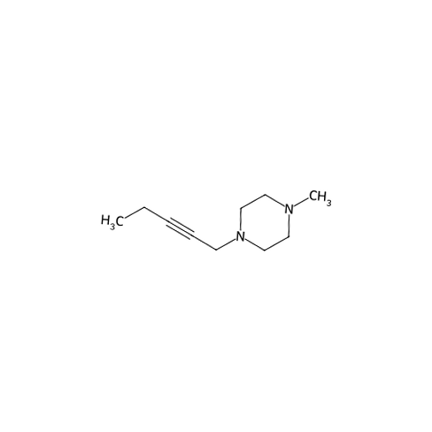 CCC#CCN1CCN(C)CC1